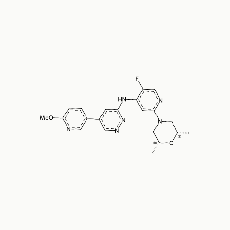 COc1ccc(-c2cnnc(Nc3cc(N4C[C@@H](C)O[C@@H](C)C4)ncc3F)c2)cn1